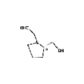 O=CCN1CCC[C@H]1CO